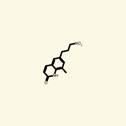 Cc1cc(CCC[N+](=O)[O-])cc2ccc(=O)[nH]c12